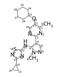 Cc1nc(-c2cnn(C)c2Nc2nc(C3CC3)ns2)ncc1OC1CCCCC1